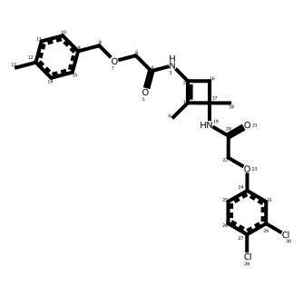 CC1=C(NC(=O)COCc2ccc(C)cc2)CC1(C)NC(=O)COc1ccc(Cl)c(Cl)c1